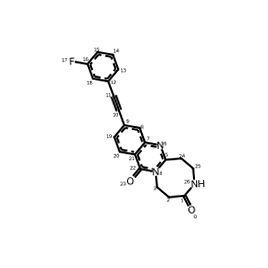 O=C1CCn2c(nc3cc(C#Cc4cccc(F)c4)ccc3c2=O)CCN1